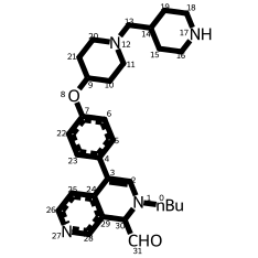 CCCCN1C=C(c2ccc(OC3CCN(CC4CCNCC4)CC3)cc2)c2ccncc2C1C=O